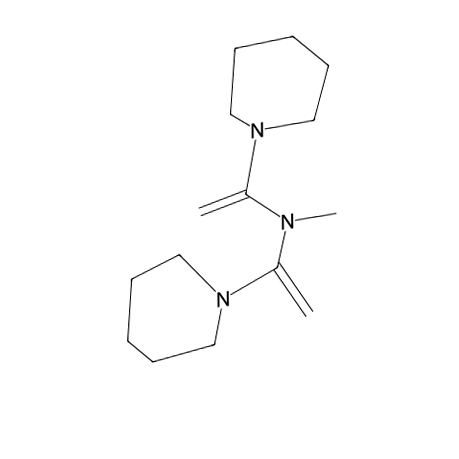 C=C(N1CCCCC1)N(C)C(=C)N1CCCCC1